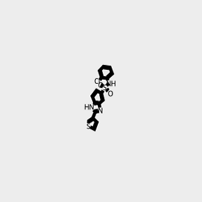 O=S(=O)(Nc1ccccc1Cl)c1ccc2[nH]c(-c3ccsc3)nc2c1